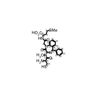 CSCC[C@H](NC(=O)CN1C(=O)C(N(C)C(=O)C(N)CS)N=C(c2ccccc2)c2ccccc21)C(=O)O